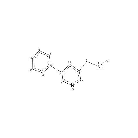 [CH2]NCc1cncc(-c2ccccc2)c1